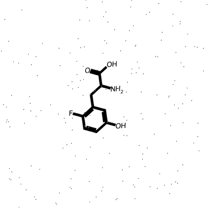 NC(Cc1cc(O)ccc1F)C(=O)O